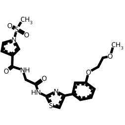 COCCOc1cccc(-c2csc(NC(=O)CNC(=O)c3ccn(S(C)(=O)=O)c3)n2)c1